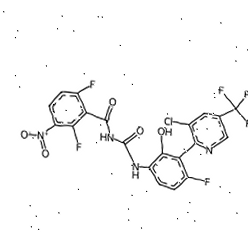 O=C(NC(=O)c1c(F)ccc([N+](=O)[O-])c1F)Nc1ccc(F)c(-c2ncc(C(F)(F)F)cc2Cl)c1O